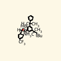 C/N=C1/C=CC(C(F)(F)F)=C/C1=N/N(C)c1cc(C(C)(C)CC(C)(C)C)cc(C(C)(C)c2ccccc2)c1O